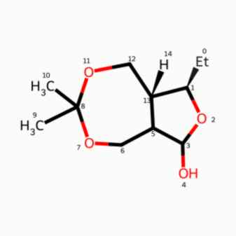 CC[C@H]1OC(O)C2COC(C)(C)OC[C@@H]21